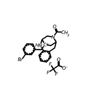 CC(=O)N1CC2Nc3ccccc3CC1C[C+]2Cc1cccc(Br)c1.O=C([O-])C(F)(F)F